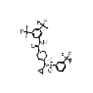 O=C(Nc1cc(C(F)(F)F)cc(C(F)(F)F)c1)N1CCC(N(C2CC2)S(=O)(=O)c2cccc(C(F)(F)F)c2)CC1